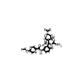 NC1=N[C@](CF)(c2cc(NC(=O)c3cnc(OCF)cn3)ccc2F)[C@H]2CO[C@H](C(F)F)C[C@H]2O1